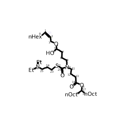 CCCCCC/C=C\COC(O)CCCN(CCCC(=O)OC(CCCCCCCC)CCCCCCCC)C(=O)SCCCN(CC)CC